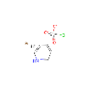 [Br-].[Li+].[O]=[Cr](=[O])([O-])[Cl].c1cc[nH+]cc1